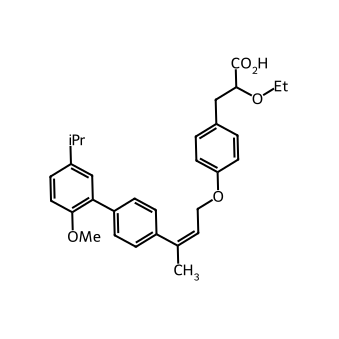 CCOC(Cc1ccc(OCC=C(C)c2ccc(-c3cc(C(C)C)ccc3OC)cc2)cc1)C(=O)O